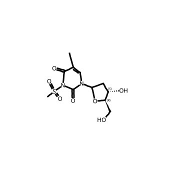 Cc1cn(C2C[C@H](O)[C@@H](CO)O2)c(=O)n(S(C)(=O)=O)c1=O